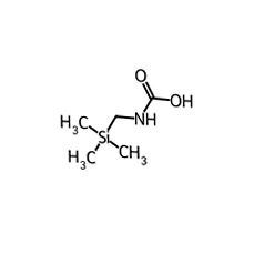 C[Si](C)(C)CNC(=O)O